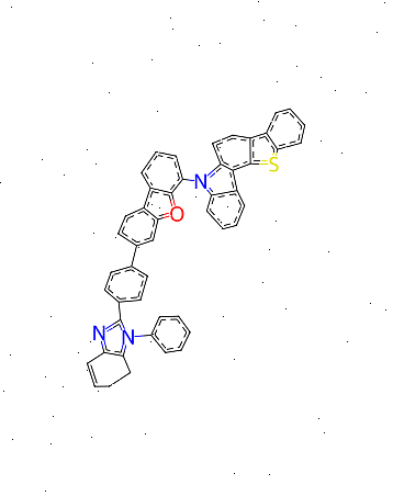 C1=Cc2nc(-c3ccc(-c4ccc5c(c4)oc4c(-n6c7ccccc7c7c8sc9ccccc9c8ccc76)cccc45)cc3)n(-c3ccccc3)c2CC1